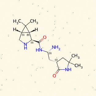 CC1(C)C[C@@H](C[C@@H](N)NC(=O)[C@H]2NC[C@H]3[C@@H]2C3(C)C)C(=O)N1